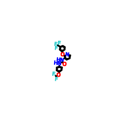 O=C(Nc1ccc(OC(F)F)cc1)Nc1cccnc1Oc1cccc(C(F)(F)F)c1